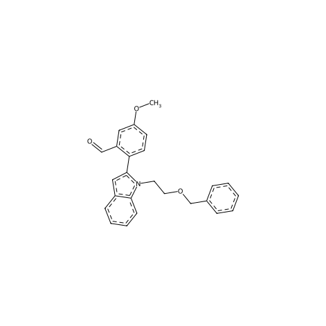 COc1ccc(-c2cc3ccccc3n2CCOCc2ccccc2)c(C=O)c1